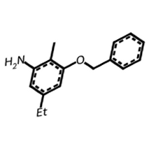 CCc1cc(N)c(C)c(OCc2ccccc2)c1